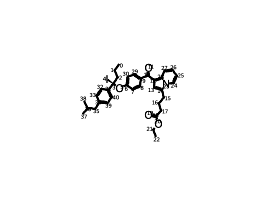 CCC[C@](I)(Oc1ccc(C(=O)c2cc(CCCC(=O)OCC)n3ccccc23)cc1)c1ccc(CC(C)C)cc1